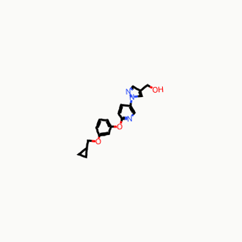 OCc1cnn(-c2ccc(Oc3cccc(OCC4CC4)c3)nc2)c1